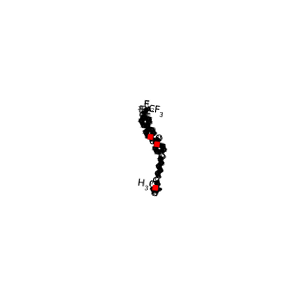 CC1(COCCCCCCOc2ccc(C(=O)Oc3ccc(-c4ccc(OC(F)(F)C(F)C(F)(F)F)cc4)cc3)cc2)COC1